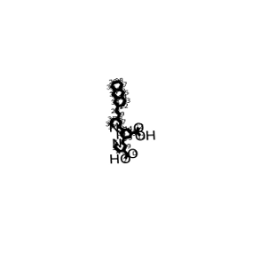 O=C(O)c1ccnc(-c2cc(C(=O)O)cc(-c3cc(/C=C/c4ccc5cc6ccccc6cc5c4)ccn3)n2)c1